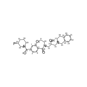 O=C(c1ccc2c(c1)OCCN(CC(O)CN1CCc3ccccc3C1)C2=O)N1CCCC(F)C1